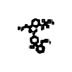 COC(=O)N1CCC[C@H](NS(C)(=O)=O)[C@@H]1COC1CCC(O)(c2ccccc2OC)CC1